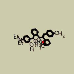 CCN(CC)c1ccc(C(=O)c2ccccc2C(=O)C(=Cc2ccc(C)cc2)C23CCC(CC2=O)C3(C)C)c(O)c1